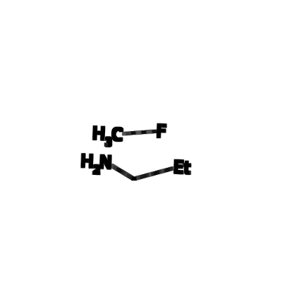 CCCN.CF